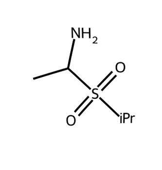 CC(C)S(=O)(=O)C(C)N